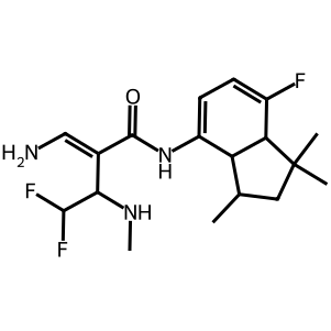 CNC(/C(=C\N)C(=O)NC1=CC=C(F)C2C1C(C)CC2(C)C)C(F)F